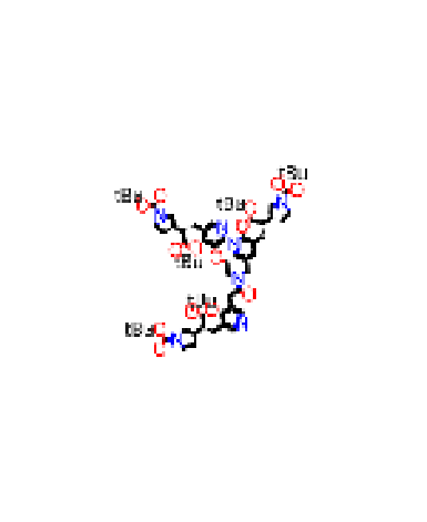 CC(C)(C)OC(=O)[C@@H](Cc1cncc(CC(=O)N(CCOc2cncc(C[C@H](C(=O)OC(C)(C)C)[C@H]3CCN(C(=O)OC(C)(C)C)C3)c2)Cc2cncc(C[C@H](C(=O)OC(C)(C)C)[C@H]3CCN(C(=O)OC(C)(C)C)C3)c2)c1)[C@H]1CCN(C(=O)OC(C)(C)C)C1